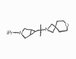 CC(C)N1CC2C(C1)C2C(C)(C)N1CC2(CCOCC2)C1